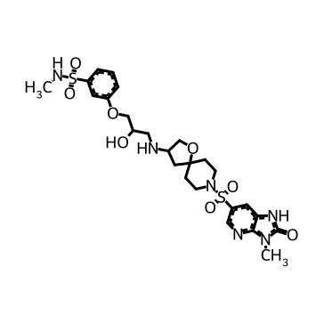 CNS(=O)(=O)c1cccc(OCC(O)CNC2COC3(CCN(S(=O)(=O)c4cnc5c(c4)[nH]c(=O)n5C)CC3)C2)c1